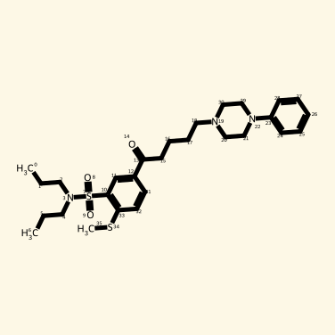 CCCN(CCC)S(=O)(=O)c1cc(C(=O)CCCCN2CCN(c3ccccc3)CC2)ccc1SC